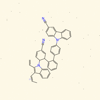 C=Cc1c(/C=C\C)c2ccccc2n1C1C=CC(C#N)=CC1c1ccccc1-c1ccc(-n2c3ccccc3c3cc(C#N)ccc32)cc1